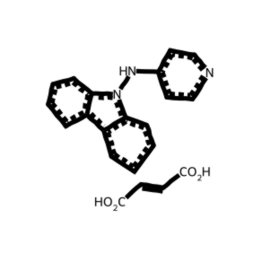 O=C(O)C=CC(=O)O.c1ccc2c(c1)c1ccccc1n2Nc1ccncc1